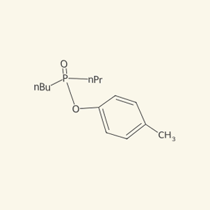 CCCCP(=O)(CCC)Oc1ccc(C)cc1